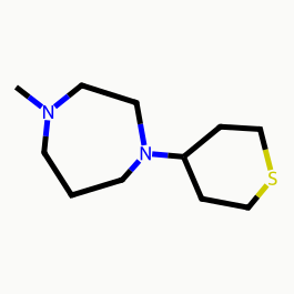 CN1CCCN(C2CCSCC2)CC1